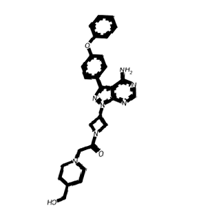 Nc1ncnc2c1c(-c1ccc(Oc3ccccc3)cc1)nn2C1CN(C(=O)CN2CCC(CO)CC2)C1